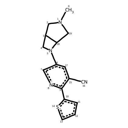 CN1CC2CN(c3cnc(-c4cccs4)c(C#N)c3)C2C1